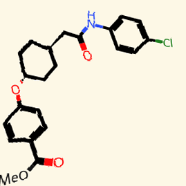 COC(=O)c1ccc(O[C@H]2CC[C@H](CC(=O)Nc3ccc(Cl)cc3)CC2)cc1